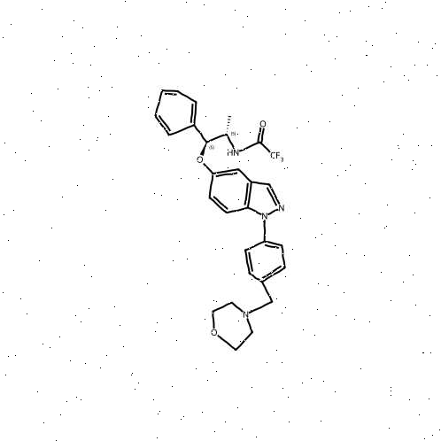 C[C@H](NC(=O)C(F)(F)F)[C@@H](Oc1ccc2c(cnn2-c2ccc(CN3CCOCC3)cc2)c1)c1ccccc1